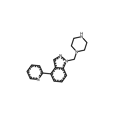 c1ccc(-c2cccc3c2cnn3CN2CCNCC2)nc1